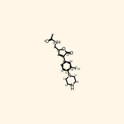 CC(=O)NCC1C=C(c2ccc(N3CCNCC3)c(F)c2)C(=O)O1